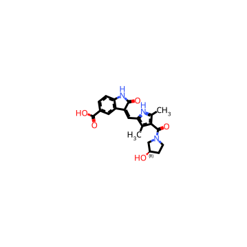 Cc1[nH]c(C=C2C(=O)Nc3ccc(C(=O)O)cc32)c(C)c1C(=O)N1CC[C@@H](O)C1